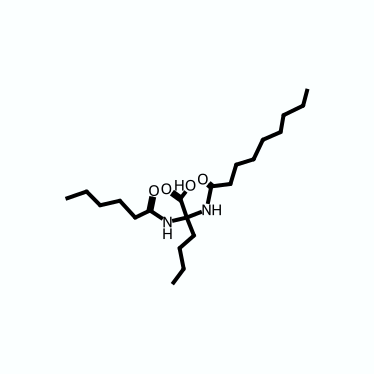 CCCCCCCCC(=O)NC(CCCC)(NC(=O)CCCCC)C(=O)O